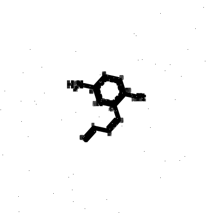 C=C/C=C\c1nc(N)ccc1CC